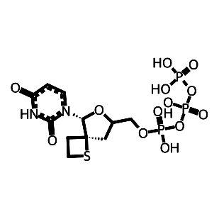 O=c1ccn([C@@H]2OC(COP(=O)(O)OP(=O)(O)OP(=O)(O)O)C[C@]23CCS3)c(=O)[nH]1